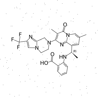 Cc1cc([C@@H](C)Nc2ccccc2C(=O)O)c2nc(N3CCn4cc(C(F)(F)F)nc4C3)c(C)c(=O)n2c1